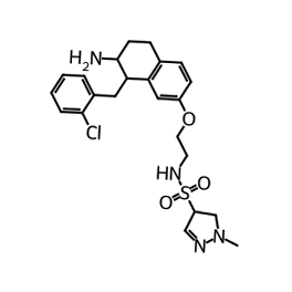 CN1CC(S(=O)(=O)NCCOc2ccc3c(c2)C(Cc2ccccc2Cl)C(N)CC3)C=N1